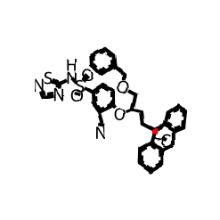 N#Cc1cc(S(=O)(=O)Nc2ncns2)ccc1OC(CCC12CCC(c3ccccc31)c1ccccc12)COCc1ccccc1